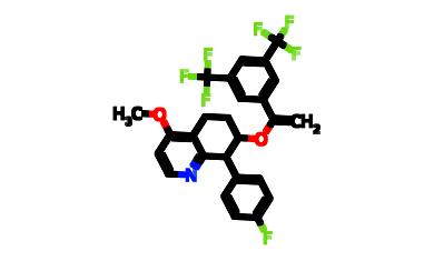 C=C(OC1CCc2c(OC)ccnc2C1c1ccc(F)cc1)c1cc(C(F)(F)F)cc(C(F)(F)F)c1